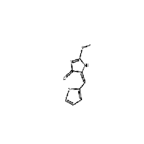 CSC1=NC(=O)C(=Cc2cccs2)N1